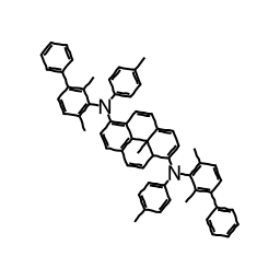 Cc1ccc(N(C2=CC=C3C=Cc4c(N(c5ccc(C)cc5)c5c(C)ccc(-c6ccccc6)c5C)ccc5c4C3(C)C2C=C5)c2c(C)ccc(-c3ccccc3)c2C)cc1